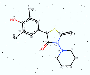 C=C1SC(c2cc(C(C)(C)C)c(O)c(C(C)(C)C)c2)C(=O)N1N1CCCCC1